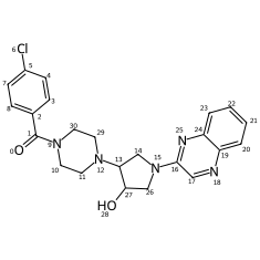 O=C(c1ccc(Cl)cc1)N1CCN(C2CN(c3cnc4ccccc4n3)CC2O)CC1